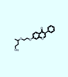 CC(CCO)OCCOc1ccc2c(=O)c(-c3ccccc3)coc2c1